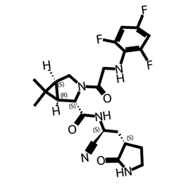 CC1(C)[C@@H]2[C@@H](C(=O)N[C@H](C#N)C[C@@H]3CCNC3=O)N(C(=O)CNc3c(F)cc(F)cc3F)C[C@@H]21